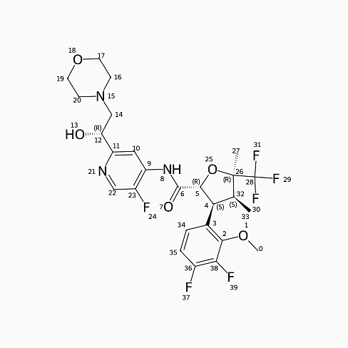 COc1c([C@H]2[C@H](C(=O)Nc3cc([C@H](O)CN4CCOCC4)ncc3F)O[C@@](C)(C(F)(F)F)[C@H]2C)ccc(F)c1F